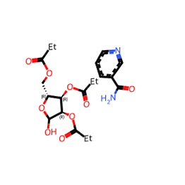 CCC(=O)OC[C@H]1OC(O)[C@H](OC(=O)CC)[C@@H]1OC(=O)CC.NC(=O)c1cccnc1